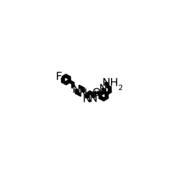 Nc1ccc2cccc(Oc3cc(N4CCN(CCc5ccc(F)cc5)CC4)ncn3)c2n1